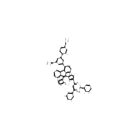 N#Cc1ccc(-c2cc(C#N)cc(-c3cccc4c3-c3ccccc3C43c4ccccc4Oc4c(-c5cc(-c6ccccc6)nc(-c6ccccc6)n5)cccc43)c2)cc1